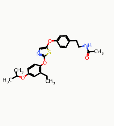 CCc1cc(OC(C)C)ccc1Oc1ncc(Oc2ccc(CCNC(C)=O)cc2)s1